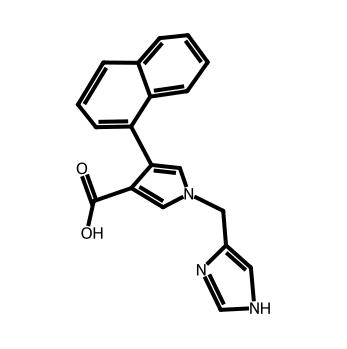 O=C(O)c1cn(Cc2c[nH]cn2)cc1-c1cccc2ccccc12